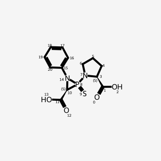 O=C(O)[C@@H]1CCCN1P1(=S)[C@@H](C(=O)O)N1c1ccccc1